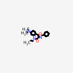 C=CCNC(=O)c1nc(-c2ccccc2)oc1-c1ccc(N(C)C)cc1